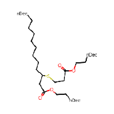 CCCCCCCCCCCCCCCCCCC(CC(=O)OCCCCCCCCCCCC)SCCC(=O)OCCCCCCCCCCCC